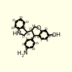 Nc1ccc(C2c3ccc(O)cc3OCC2C2CNc3ccccc32)cc1